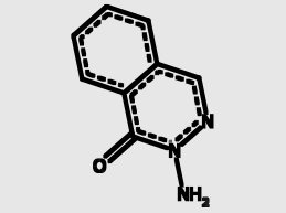 Nn1ncc2ccccc2c1=O